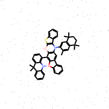 Cc1cc2c(cc1N1c3cc4c(oc5ccccc54)c(-c4cccc5c4Nc4ccccc4C5(C)C)c3Bc3sc4ccccc4c31)C(C)(C)CCC2(C)C